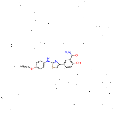 CCCCCCCOc1ccc(Nc2nc(-c3ccc(O)c(C(N)=O)c3)cs2)cc1